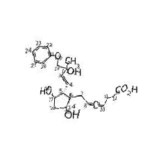 CC(O)(C=C[C@@H]1[C@@H](CC=C=CCCC(=O)O)[C@@H](O)C[C@H]1O)COc1ccccc1